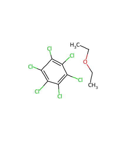 CCOCC.Clc1c(Cl)c(Cl)c(Cl)c(Cl)c1Cl